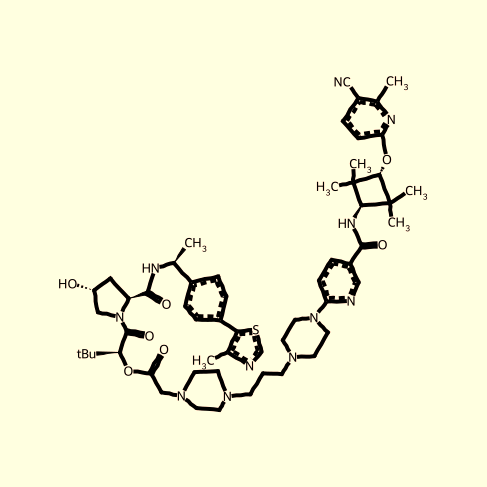 Cc1nc(O[C@H]2C(C)(C)[C@H](NC(=O)c3ccc(N4CCN(CCCN5CCN(CC(=O)O[C@H](C(=O)N6C[C@H](O)C[C@H]6C(=O)N[C@@H](C)c6ccc(-c7scnc7C)cc6)C(C)(C)C)CC5)CC4)nc3)C2(C)C)ccc1C#N